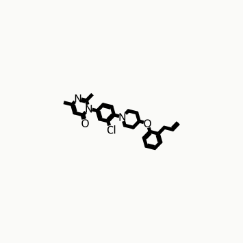 C=CCc1ccccc1OC1CCN(c2ccc(-n3c(C)nc(C)cc3=O)cc2Cl)CC1